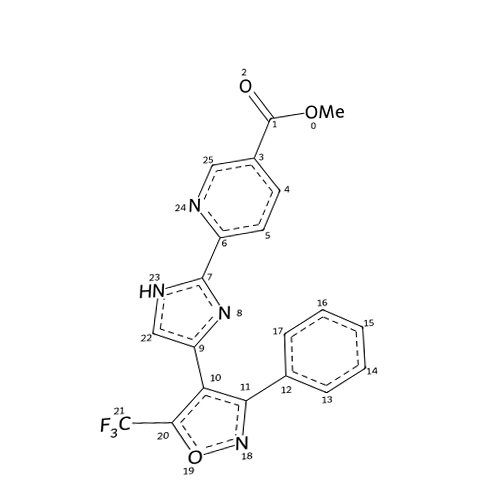 COC(=O)c1ccc(-c2nc(-c3c(-c4ccccc4)noc3C(F)(F)F)c[nH]2)nc1